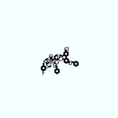 CCSc1cc(F)ccc1CN1CCN(C(=O)[C@H](NC(=O)OCc2ccccc2)C2CCN(CCc3cc(Cl)ccc3-c3cc(OCc4ccccc4)ccc3Cl)CC2)CC1